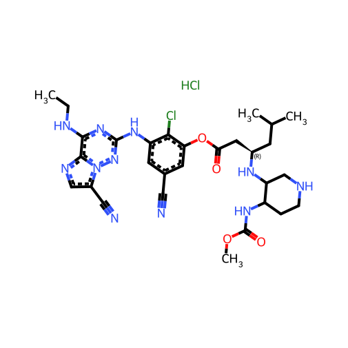 CCNc1nc(Nc2cc(C#N)cc(OC(=O)C[C@@H](CC(C)C)NC3CNCCC3NC(=O)OC)c2Cl)nn2c(C#N)cnc12.Cl